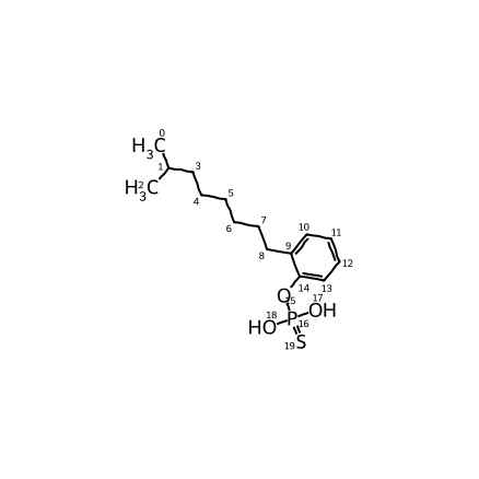 CC(C)CCCCCCc1ccccc1OP(O)(O)=S